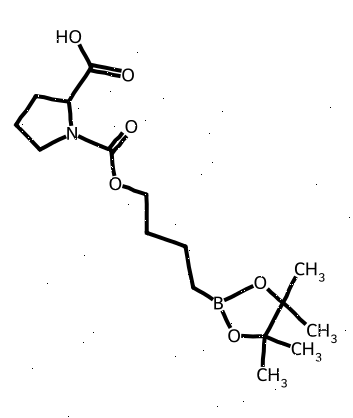 CC1(C)OB(CCCCOC(=O)N2CCCC2C(=O)O)OC1(C)C